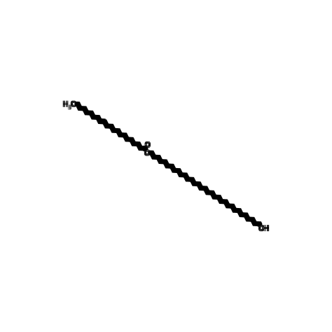 CCCCCCCCC=CCCCCCCCCCCCC(=O)OCCCCCCCCCCCCCCCCCCCCCCCCCCCCCCCCCO